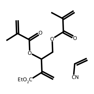 C=C(C)C(=O)OCC(OC(=O)C(=C)C)C(=C)C(=O)OCC.C=CC#N